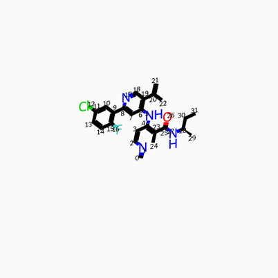 C=N/C=C\C(Nc1cc(-c2cc(Cl)ccc2F)ncc1C(=C)C)=C(/C)C(=O)N[C@H](C)CC